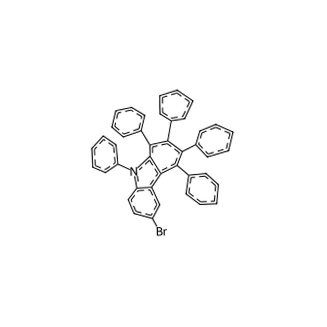 Brc1ccc2c(c1)c1c(-c3ccccc3)c(-c3ccccc3)c(-c3ccccc3)c(-c3ccccc3)c1n2-c1ccccc1